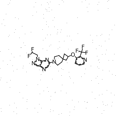 FC(F)Cn1ncc2ncc(N3CCC4(CC3)CC(Oc3cccnc3C(F)(F)F)C4)nc21